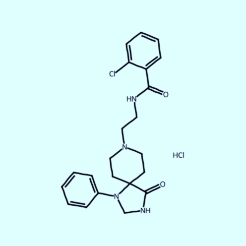 Cl.O=C(NCCN1CCC2(CC1)C(=O)NCN2c1ccccc1)c1ccccc1Cl